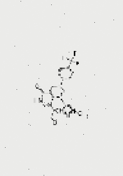 CC(CO)N1CNC(=O)c2cc(-c3ccc(C(F)(F)F)cc3)nc(-c3cnn(C)c3)c21